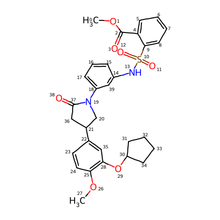 COC(=O)c1ccccc1S(=O)(=O)Nc1cccc(N2CC(c3ccc(OC)c(OC4CCCC4)c3)CC2=O)c1